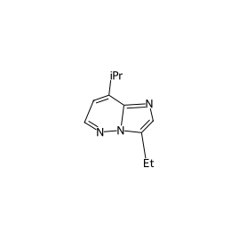 CCc1cnc2c(C(C)C)ccnn12